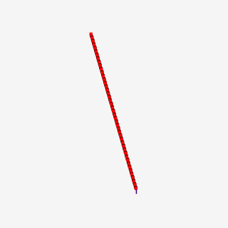 CC#CC#CC#CC#CC#CC#CC#CC#CC#CC#CC#CC#CC#CC#CC#CC#CC#CC#CC#CC#CC#CC#CC#CC#CC#CC#CC#CC#CC#CC#CC#CC#CC#CC#CC#CC#CC#CC#CC#CC#CC#CC#CC#CC#CI